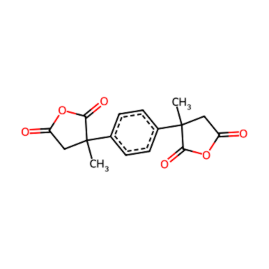 CC1(c2ccc(C3(C)CC(=O)OC3=O)cc2)CC(=O)OC1=O